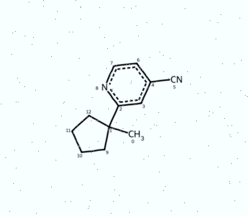 CC1(c2cc(C#N)ccn2)CCCC1